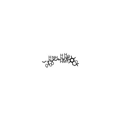 CCC[C@H](NC(=O)[C@@H](N)CCCNC(=N)NS(=O)(=O)c1c(C)c(C)c2c(c1C)CCC(C)(C)O2)C(=O)OC